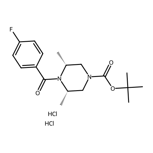 C[C@@H]1CN(C(=O)OC(C)(C)C)C[C@H](C)N1C(=O)c1ccc(F)cc1.Cl.Cl